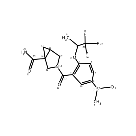 CC(Oc1ccc([S+](C)[O-])cc1C(=O)N1CC2CC2(C(N)=O)C1)C(F)(F)F